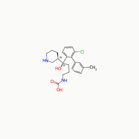 Cc1cccc(-c2c(Cl)cccc2[C@](O)(CCCNC(=O)O)[C@@H]2CCCNC2)c1